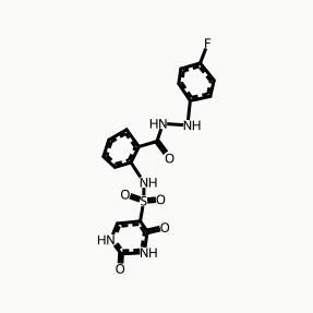 O=C(NNc1ccc(F)cc1)c1ccccc1NS(=O)(=O)c1c[nH]c(=O)[nH]c1=O